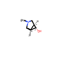 CC(C)N1C[C@@H]2[C@@H](O)[C@@H]2C1